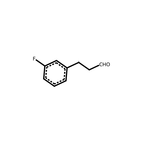 O=CC[CH]c1cccc(F)c1